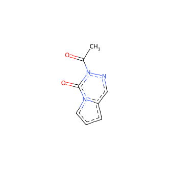 CC(=O)n1ncc2cccn2c1=O